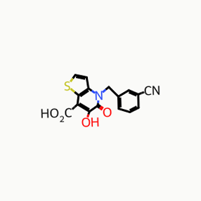 N#Cc1cccc(Cn2c(=O)c(O)c(C(=O)O)c3sccc32)c1